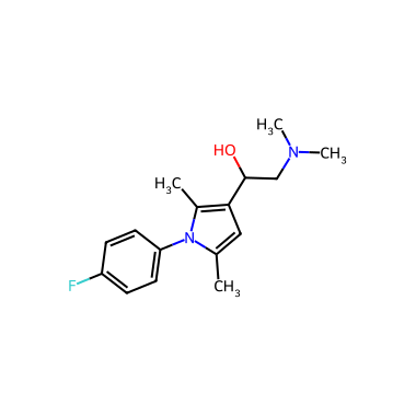 Cc1cc(C(O)CN(C)C)c(C)n1-c1ccc(F)cc1